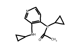 CC(=O)N(c1ccncc1NC1CC1)C1CC1